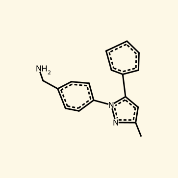 Cc1cc(-c2ccccc2)n(-c2ccc(CN)cc2)n1